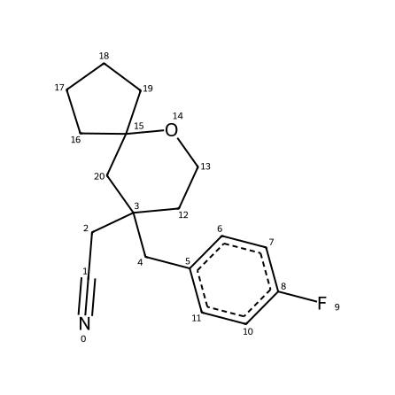 N#CCC1(Cc2ccc(F)cc2)CCOC2(CCCC2)C1